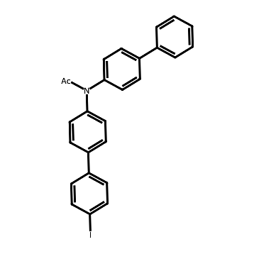 CC(=O)N(c1ccc(-c2ccccc2)cc1)c1ccc(-c2ccc(I)cc2)cc1